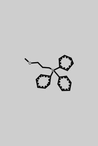 COCCC[Si](c1ccccc1)(c1ccccc1)c1ccccc1